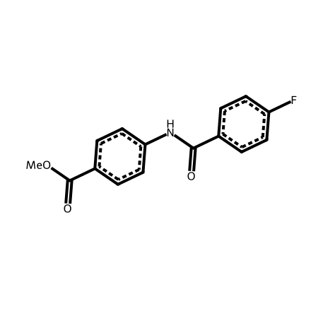 COC(=O)c1ccc(NC(=O)c2ccc(F)cc2)cc1